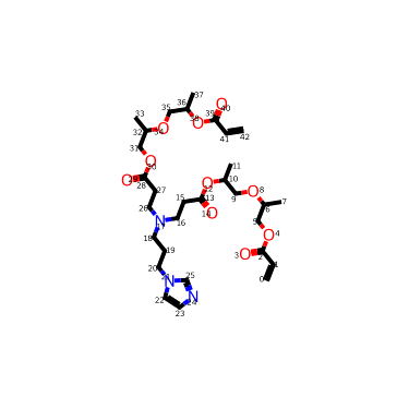 C=CC(=O)OCC(C)OCC(C)OC(=O)CCN(CCCn1ccnc1)CCC(=O)OCC(C)OCC(C)OC(=O)C=C